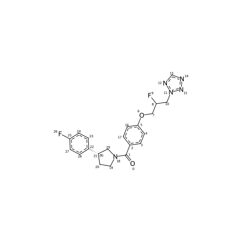 O=C(c1ccc(OCC(F)Cn2ncnn2)cc1)N1CC[C@H](c2ccc(F)cc2)C1